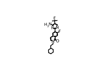 CC(C)(F)c1cnc(-c2cc3ccn(CCC4CCCCC4)c(=O)c3cc2F)nc1N